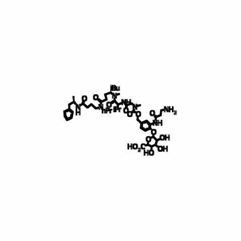 CCCN(CCCC(=O)N[C@H](C)Cc1ccccc1)C(=O)CCC([C@@H](C)CC)N(C)C(=O)C(NC(=O)CN(C)C(=O)OCc1ccc(OC2OC(C(=O)O)C(O)C(O)C2O)c(NC(=O)CCN)c1)C(C)C